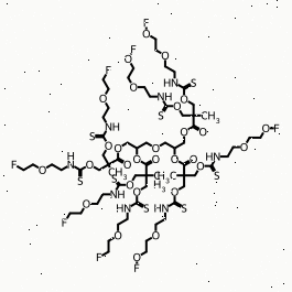 CC(COC(=S)NCCOCCF)(COC(=S)NCCOCCF)C(=O)OCC(COCC(COC(=O)C(C)(COC(=S)NCCOCCOF)COC(=S)NCCOCCOF)OC(=O)C(C)(COC(=S)NCCOCCOF)COC(=S)NCCOCCOF)OC(=O)C(C)(COC(=S)NCCOCCF)COC(=S)NCCOCCF